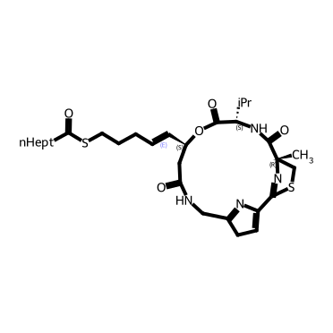 CCCCCCCC(=O)SCCC/C=C/[C@@H]1CC(=O)NCC2=NC(=CC2)C2=N[C@@](C)(CS2)C(=O)N[C@@H](C(C)C)C(=O)O1